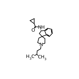 CC(C)CCN1CCC2(CC1)C[C@H](NC(=O)C1CC1)c1ccccc12